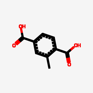 Cc1cc(C(=O)O)ccc1C(=O)O